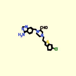 Nc1ncnc2cc(CN3CCN(CCc4cc5ccc(Cl)cc5s4)CC3C=O)ccc12